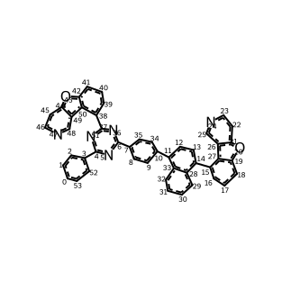 c1ccc(-c2nc(-c3ccc(-c4ccc(-c5cccc6oc7ccncc7c56)c5ccccc45)cc3)nc(-c3cccc4oc5ccncc5c34)n2)cc1